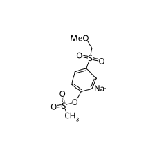 COCS(=O)(=O)c1ccc(OS(C)(=O)=O)cc1.[Na]